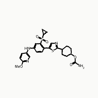 COc1ccc(Nc2ccc(-c3cnc(C4CCC(OC(N)=O)CC4)s3)c(S(=O)(=O)C3CC3)c2)cn1